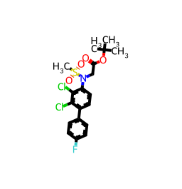 CC(C)(C)OC(=O)CN(c1ccc(-c2ccc(F)cc2)c(Cl)c1Cl)S(C)(=O)=O